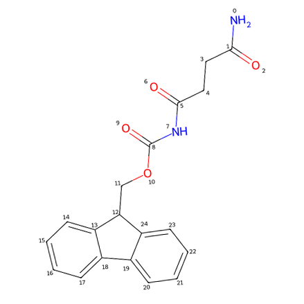 NC(=O)CCC(=O)NC(=O)OCC1c2ccccc2-c2ccccc21